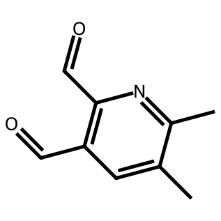 Cc1cc(C=O)c(C=O)nc1C